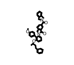 COc1ccc(-c2c(OC(C)CCc3ccccc3)cccc2N2Cc3ccc(C(=O)N4Cc5ccccc5C4)cc3C2=O)cc1